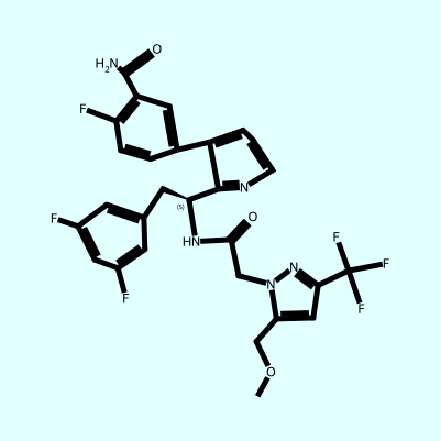 COCc1cc(C(F)(F)F)nn1CC(=O)N[C@@H](Cc1cc(F)cc(F)c1)c1ncccc1-c1ccc(F)c(C(N)=O)c1